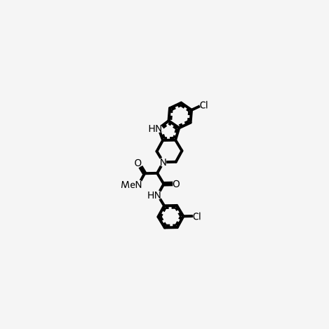 CNC(=O)C(C(=O)Nc1cccc(Cl)c1)N1CCc2c([nH]c3ccc(Cl)cc23)C1